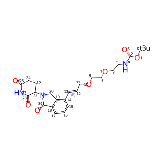 CC(C)(C)OC(=O)NCCOCCOC/C=C/c1cccc2c1CN(C1CCC(=O)NC1=O)C2=O